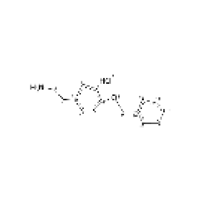 Cl.NCCc1ccc(OCc2ccccc2)cc1